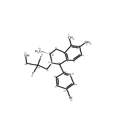 Cc1c(N)ccc2c1C[C@@H](C)N(CC(F)(F)CO)C2c1ccc(Br)cn1